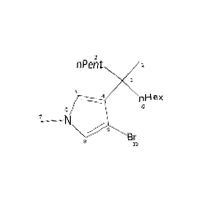 CCCCCCC(C)(CCCCC)c1cn(C)cc1Br